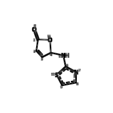 O=C1C=CC(Nc2nccs2)O1